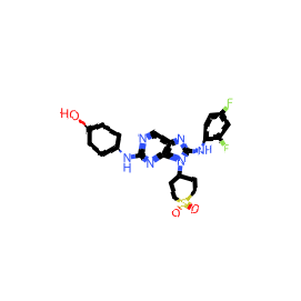 O=S1(=O)CCC(n2c(Nc3ccc(F)cc3F)nc3cnc(N[C@H]4CC[C@H](O)CC4)nc32)CC1